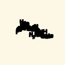 COCCNc1cc2nccc(Oc3ccc(NC(=O)C4(C(=O)Nc5ccc(F)cc5)CC4)cc3)c2cc1C(N)=O